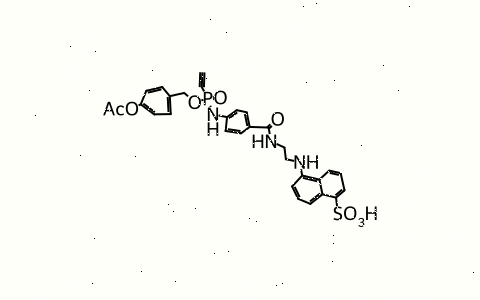 C#CP(=O)(Nc1ccc(C(=O)NCCNc2cccc3c(S(=O)(=O)O)cccc23)cc1)OCc1ccc(OC(C)=O)cc1